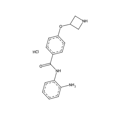 Cl.Nc1ccccc1NC(=O)c1ccc(OC2CNC2)cc1